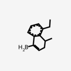 BC1=CCC(C)c2c(CC)cccc21